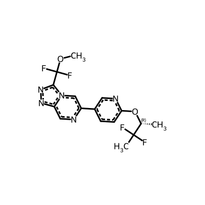 COC(F)(F)c1nnc2cnc(-c3ccc(O[C@H](C)C(C)(F)F)nc3)cn12